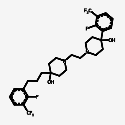 OC1(CCCc2cccc(C(F)(F)F)c2F)CCN(CCN2CCC(O)(c3cccc(C(F)(F)F)c3F)CC2)CC1